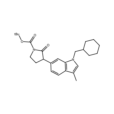 Cc1cn(CC2CCCCC2)c2cc(C3CCN(C(=O)OC(C)(C)C)C3=O)ccc12